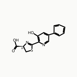 O=C(O)[C@@H]1CSC(c2ncc(-c3ccccc3)cc2O)=N1